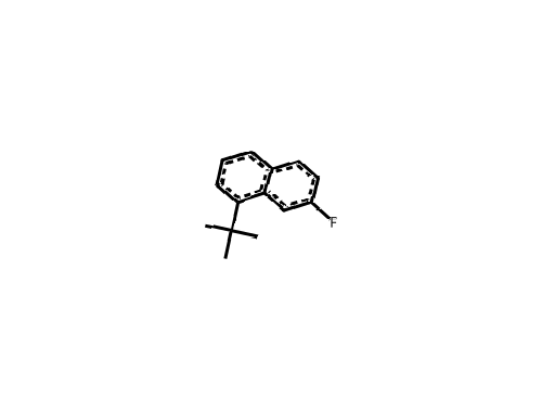 CC(C)(C)c1cccc2ccc(F)cc12